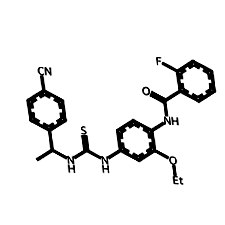 CCOc1cc(NC(=S)NC(C)c2ccc(C#N)cc2)ccc1NC(=O)c1ccccc1F